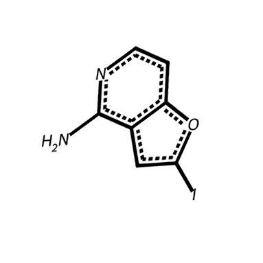 Nc1nccc2oc(I)cc12